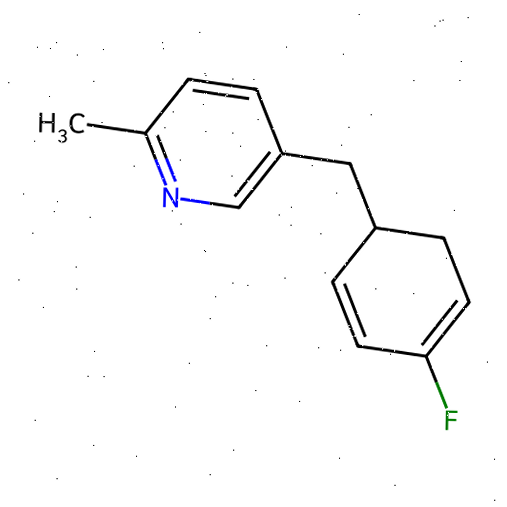 Cc1ccc(CC2C=CC(F)=CC2)cn1